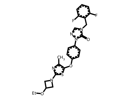 CCOC1CN(c2nc(C)c(Oc3ccc(-n4ncn(Cc5c(F)cccc5F)c4=O)cc3)s2)C1